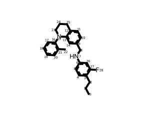 CCCc1ccc(NCc2ccc3c(c2)N(c2ccccc2C)CCC3)cc1F